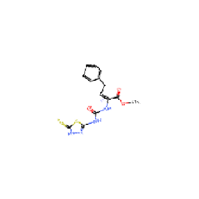 COC(=O)/C(=C\Cc1ccccc1)NC(=O)Nc1n[nH]c(=S)s1